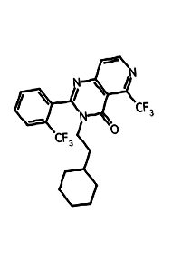 O=c1c2c(C(F)(F)F)nccc2nc(-c2ccccc2C(F)(F)F)n1CCC1CCCCC1